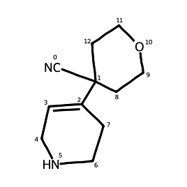 N#CC1(C2=CCNCC2)CCOCC1